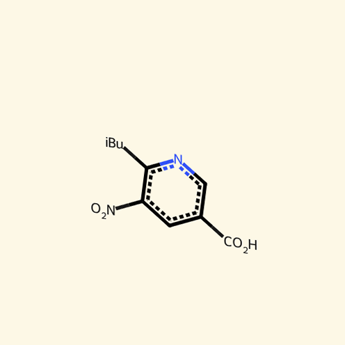 CCC(C)c1ncc(C(=O)O)cc1[N+](=O)[O-]